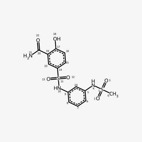 CS(=O)(=O)Nc1cccc(NS(=O)(=O)c2ccc(O)c(C(N)=O)c2)c1